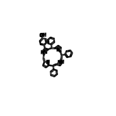 Oc1ccc(-c2cc3cc4nc(c(-c5ccccc5)c5ccc([nH]5)c(-c5ccccc5)c5nc(c(-c6ccccc6)c2[nH]3)C=C5)C=C4)cc1